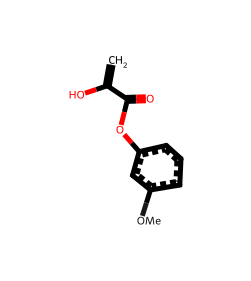 C=C(O)C(=O)Oc1cccc(OC)c1